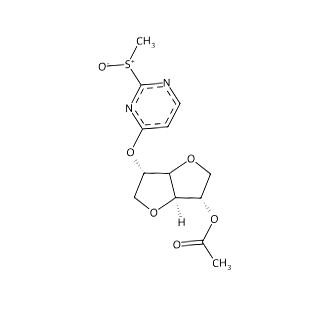 CC(=O)O[C@H]1COC2[C@@H](Oc3ccnc([S+](C)[O-])n3)CO[C@@H]21